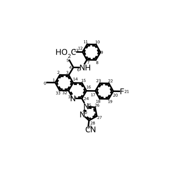 Cc1cc(C(C)Nc2ccccc2C(=O)O)c2cc(-c3ccc(F)cc3)c(-n3ccc(C#N)n3)nc2c1